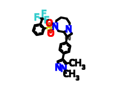 Cc1c(-c2ccc([C@@H]3CN4CCCCN(S(=O)(=O)c5ccccc5C(F)(F)F)CC34)cc2)cnn1C